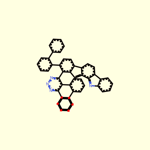 C1=c2c(ccc3c2=Nc2ccccc2-3)-c2ccc(-c3ccccc3-c3ccccc3)c(-c3nnnc(-c4ccccc4)c3-c3ccccc3-c3ccccc3)c21